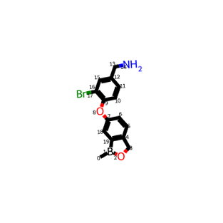 CB1OCc2ccc(Oc3ccc(CN)cc3Br)cc21